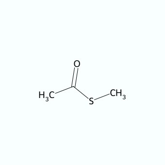 CSC(C)=O